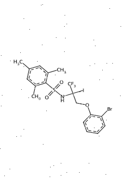 Cc1cc(C)c(S(=O)(=O)NC(I)(COc2ccccc2Br)C(F)(F)F)c(C)c1